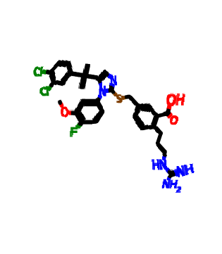 COc1cc(-n2c(C(C)(C)c3ccc(Cl)c(Cl)c3)cnc2SCc2ccc(CCCNC(=N)N)c(C(=O)O)c2)ccc1F